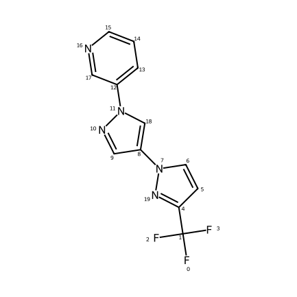 FC(F)(F)c1ccn(-c2cnn(-c3cccnc3)c2)n1